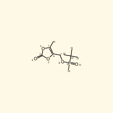 Cc1oc(=O)oc1COP(C)(=O)C(C)(C)C